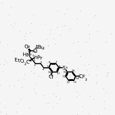 CCCC(CCCc1ccc(Sc2cccc(C(F)(F)F)c2)cc1Cl)(NC(=O)OC(C)(C)C)C(=O)OCC